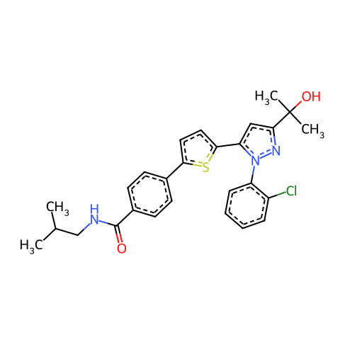 CC(C)CNC(=O)c1ccc(-c2ccc(-c3cc(C(C)(C)O)nn3-c3ccccc3Cl)s2)cc1